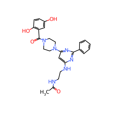 CC(=O)NCCNc1cc(N2CCN(C(=O)c3cc(O)ccc3O)CC2)nc(-c2ccccc2)n1